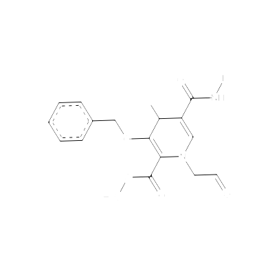 COC(=O)C1=C(OCc2ccccc2)C(O)C(C(=O)NF)=CN1CC=O